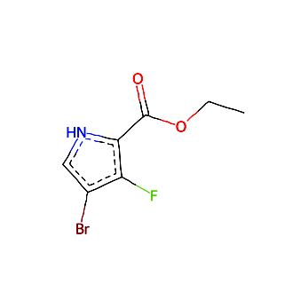 CCOC(=O)c1[nH]cc(Br)c1F